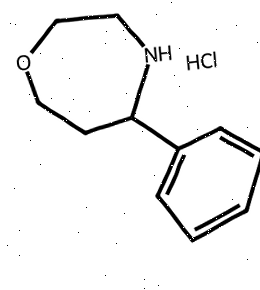 Cl.c1ccc(C2CCOCCN2)cc1